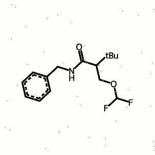 CC(C)(C)[C](COC(F)F)C(=O)NCc1ccccc1